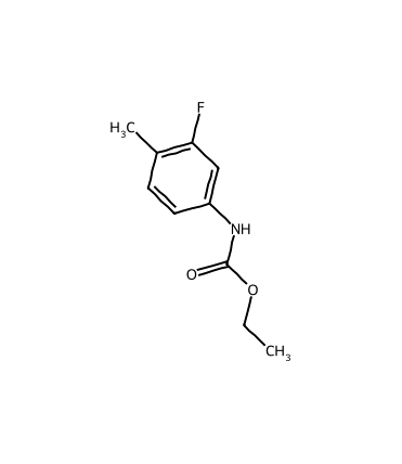 CCOC(=O)Nc1ccc(C)c(F)c1